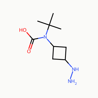 CC(C)(C)N(C(=O)O)C1CC(NN)C1